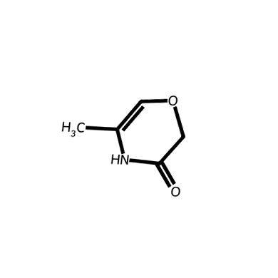 CC1=COCC(=O)N1